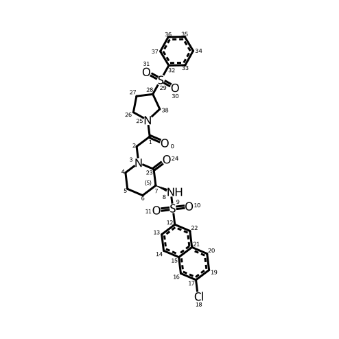 O=C(CN1CCC[C@H](NS(=O)(=O)c2ccc3cc(Cl)ccc3c2)C1=O)N1CCC(S(=O)(=O)c2ccccc2)C1